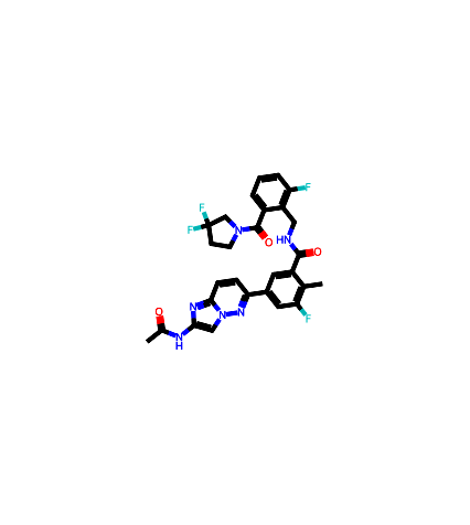 CC(=O)Nc1cn2nc(-c3cc(F)c(C)c(C(=O)NCc4c(F)cccc4C(=O)N4CCC(F)(F)C4)c3)ccc2n1